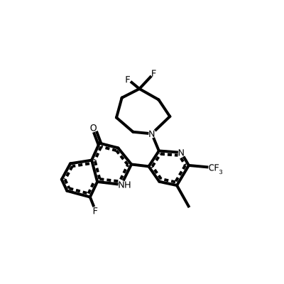 Cc1cc(-c2cc(=O)c3cccc(F)c3[nH]2)c(N2CCCC(F)(F)CC2)nc1C(F)(F)F